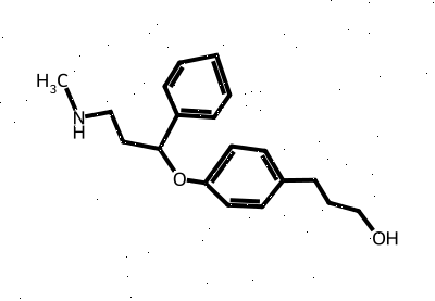 CNCCC(Oc1ccc(CCCO)cc1)c1ccccc1